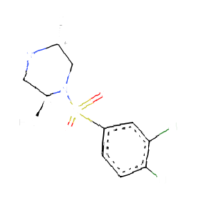 C[C@@H]1CN(S(=O)(=O)c2ccc(Cl)c(Cl)c2)[C@@H](C)CN1